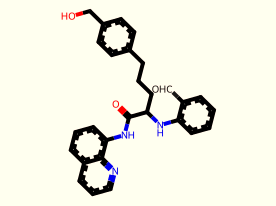 O=Cc1ccccc1NC(CCCc1ccc(CO)cc1)C(=O)Nc1cccc2cccnc12